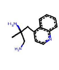 CC(N)(CN)Cc1ccnc2ccccc12